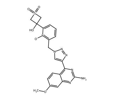 COc1ccc2c(-c3cn(Cc4cccc(C5(O)CS(=O)(=O)C5)[n+]4[O-])nn3)nc(N)nc2c1